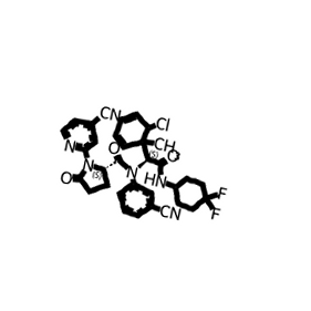 CC1([C@@H](C(=O)NC2CCC(F)(F)CC2)N(C(=O)[C@@H]2CCC(=O)N2c2cc(C#N)ccn2)c2cccc(C#N)c2)C=CC=CC1Cl